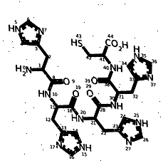 NC(Cc1c[nH]cn1)C(=O)NC(Cc1c[nH]cn1)C(=O)NC(Cc1c[nH]cn1)C(=O)NC(Cc1c[nH]cn1)C(=O)NC(CS)C(=O)O